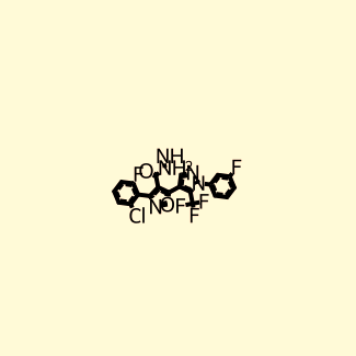 NNC(=O)c1c(-c2c(F)cccc2Cl)noc1-c1cnn(-c2cccc(F)c2)c1C(F)(F)F